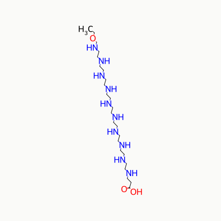 CCOCNCCNCCNCCNCCNCCNCCNCCNCCNCCNCCC(=O)O